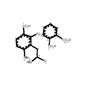 CCCCc1ccc(C(=O)O)c(C(=O)O)c1CC(CC)CCCC.O=C(O)c1ccccc1C(=O)O